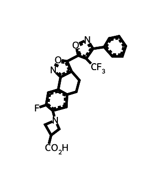 O=C(O)C1CN(c2cc3c(cc2F)-c2noc(-c4onc(-c5ccccc5)c4C(F)(F)F)c2CC3)C1